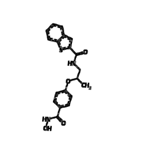 CC(CNC(=O)c1cc2ccccc2s1)Oc1ccc(C(=O)NO)cc1